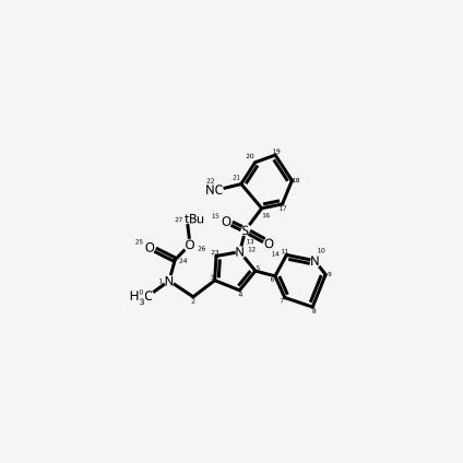 CN(Cc1cc(-c2cccnc2)n(S(=O)(=O)c2ccccc2C#N)c1)C(=O)OC(C)(C)C